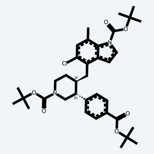 Cc1cc(Cl)c(C[C@@H]2CCN(C(=O)OC(C)(C)C)C[C@H]2c2ccc(C(=O)OC(C)(C)C)cc2)c2ccn(C(=O)OC(C)(C)C)c12